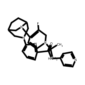 CC(C)N1C=CC(N2CC3CCC2CN(c2cccc(C(=O)Nc4ccncc4)n2)C3)=C(F)C1